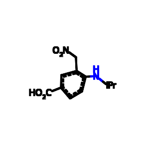 CC(C)Nc1ccc(C(=O)O)cc1C[N+](=O)[O-]